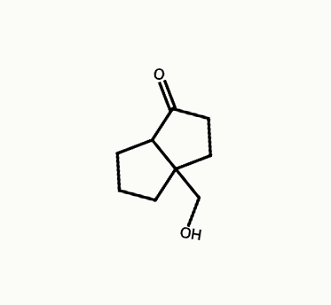 O=C1CCC2(CO)CCCC12